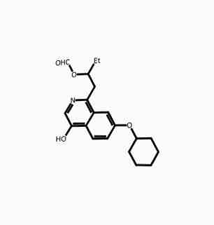 CCC(Cc1ncc(O)c2ccc(OC3CCCCC3)cc12)OC=O